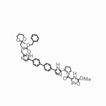 COC(=O)NC(C(=O)N1CCC[C@H]1c1ncc(-c2ccc(-c3ccc(-c4cnc(CN(CC5(C)OCCCO5)C(=O)OCc5ccccc5)[nH]4)cc3)cc2)[nH]1)C(C)C